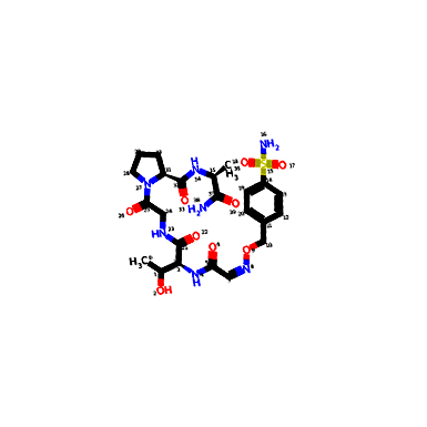 CC(O)[C@H](NC(=O)/C=N\OCc1ccc(S(N)(=O)=O)cc1)C(=O)NCC(=O)N1CCC[C@H]1C(=O)N[C@@H](C)C(N)=O